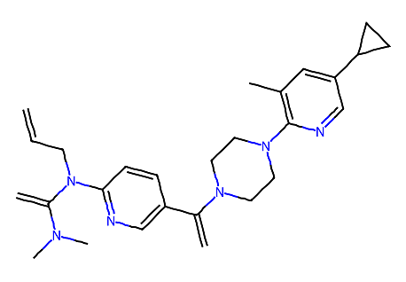 C=CCN(C(=C)N(C)C)c1ccc(C(=C)N2CCN(c3ncc(C4CC4)cc3C)CC2)cn1